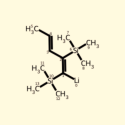 [Li][C](=C(C=CC)[Si](C)(C)C)[Si](C)(C)C